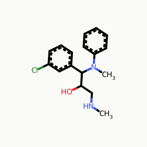 CNCC(O)C(c1cccc(Cl)c1)N(C)c1ccccc1